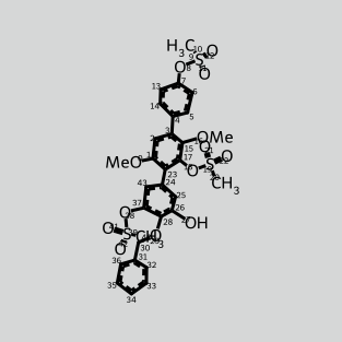 COc1cc(-c2ccc(OS(C)(=O)=O)cc2)c(OC)c(OS(C)(=O)=O)c1-c1cc(O)c(OCc2ccccc2)c(OS(C)(=O)=O)c1